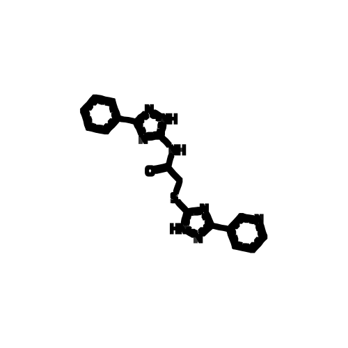 O=C(CSc1nc(-c2cccnc2)n[nH]1)Nc1nc(-c2ccccc2)n[nH]1